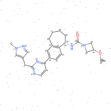 Cn1cc(Cc2nccc(-c3ccc4c(c3)CCCC[C@@H]4NC(=O)N3CC(OC(C)(C)C)C3)n2)cn1